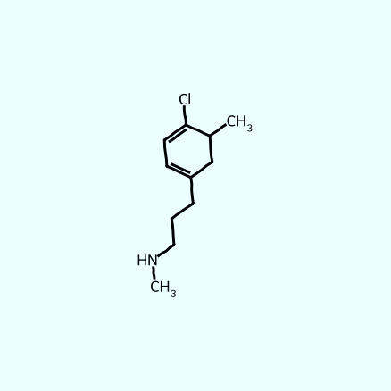 CNCCCC1=CC=C(Cl)C(C)C1